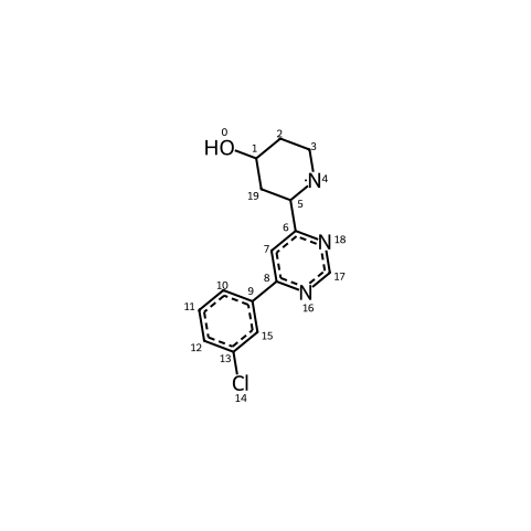 OC1CC[N]C(c2cc(-c3cccc(Cl)c3)ncn2)C1